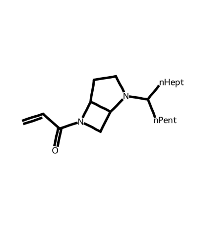 C=CC(=O)N1CC2C1CCN2C(CCCCC)CCCCCCC